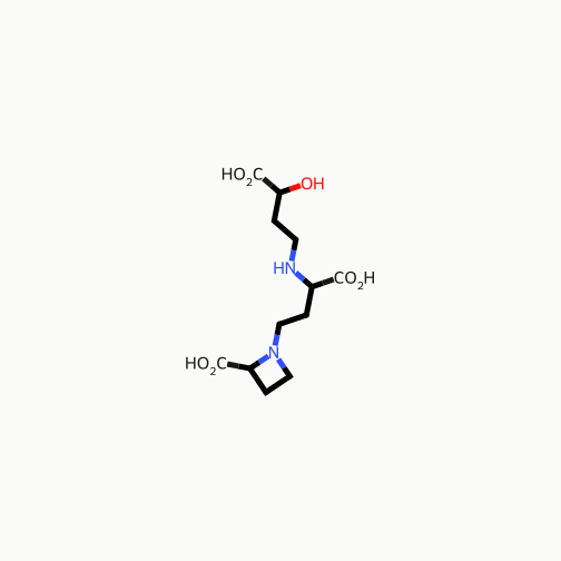 O=C(O)C(O)CCNC(CCN1CCC1C(=O)O)C(=O)O